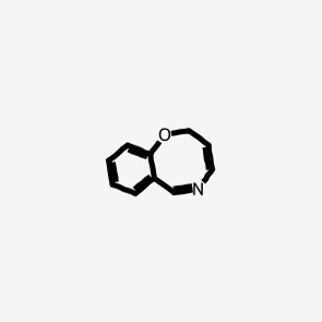 C1=C\N=C/c2ccccc2OC/1